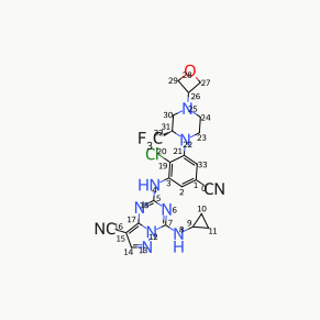 N#Cc1cc(Nc2nc(NC3CC3)n3ncc(C#N)c3n2)c(Cl)c(N2CCN(C3COC3)C[C@@H]2C(F)(F)F)c1